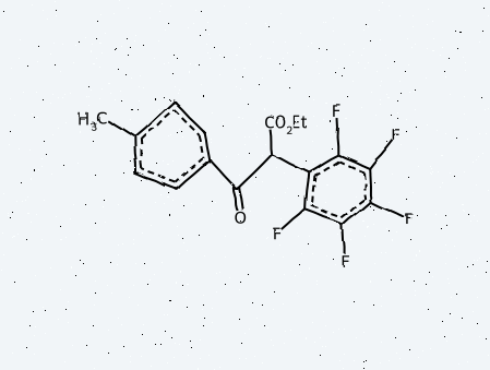 CCOC(=O)C(C(=O)c1ccc(C)cc1)c1c(F)c(F)c(F)c(F)c1F